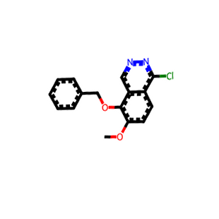 COc1ccc2c(Cl)nncc2c1OCc1ccccc1